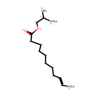 CCCCCCCCC=CCCCCCCCC(=O)OCC(CCCC)CCCCCC